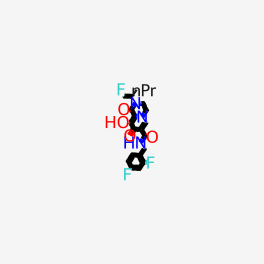 CCC[C@H](CF)N1CCn2cc(C(=O)NCc3ccc(F)cc3F)c(=O)c(O)c2C1=O